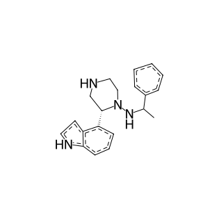 CC(NN1CCNC[C@H]1c1cccc2[nH]ccc12)c1ccccc1